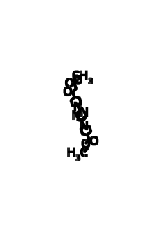 CCOC(=O)C1CCN(c2cnc(N3CCC(C(=O)CC(=O)OC)CC3)nc2)CC1